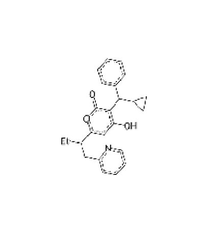 CCC(Cc1ccccn1)c1cc(O)c(C(c2ccccc2)C2CC2)c(=O)o1